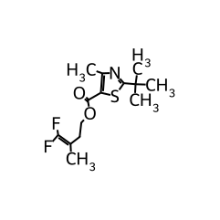 CC(CCOC(=O)c1sc(C(C)(C)C)nc1C)=C(F)F